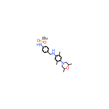 Cc1cc(N2CC(C)OC(C)C2)c(C)cc1NCc1ccc(NS(=O)(=O)C(C)(C)C)cc1